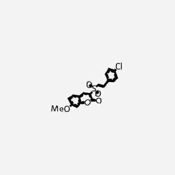 COc1ccc2cc(S(=O)(=O)/C=C/c3ccc(Cl)cc3)c(=O)oc2c1